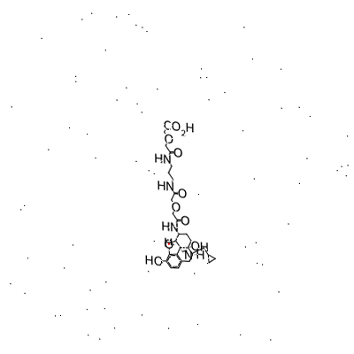 O=C(O)COCC(=O)NCCCNC(=O)COCC(=O)N[C@@H]1CC[C@@]2(O)[C@H]3Cc4ccc(O)c5c4[C@@]2(CCN3CC2CC2)[C@H]1O5